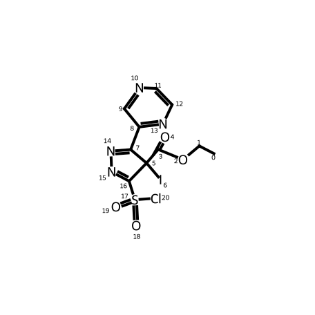 CCOC(=O)C1(I)C(c2cnccn2)=NN=C1S(=O)(=O)Cl